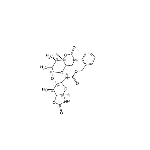 CC1[C@@H](O[C@@H]2C(NC(=O)OCc3ccccc3)O[C@H]3NC(=O)OC3[C@H]2O)OC2CNC(=O)O[C@H]2[C@@H]1C